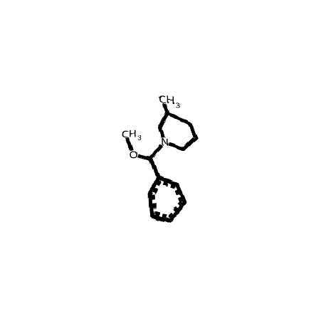 COC(c1ccccc1)N1CCCC(C)C1